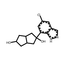 OC1CC2CC(O)(c3cc(Cl)cc4cn[nH]c34)CC2C1